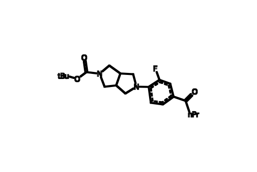 CCCC(=O)c1ccc(N2CC3CN(C(=O)OC(C)(C)C)CC3C2)c(F)c1